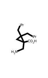 CC(C)CC1(CC(C)C)CC1(CN)C(=O)O